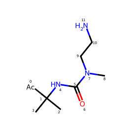 CC(=O)C(C)(C)NC(=O)N(C)CCN